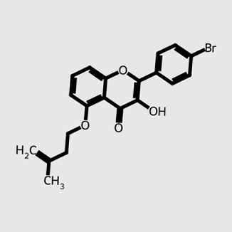 C=C(C)CCOc1cccc2oc(-c3ccc(Br)cc3)c(O)c(=O)c12